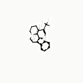 FC(F)(F)C1=Cn2c3c(c4ccccc42)CCN2CCC[C@H]1[C@H]32